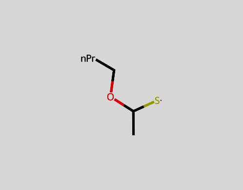 CCCCOC(C)[S]